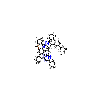 c1ccc(-c2ccc(-c3ccccc3)c(-c3cnc(N4c5ccccc5Sc5ccccc54)c(CCc4nc(-c5ccccc5)nc(-c5ccccc5)n4)c3)c2)cc1